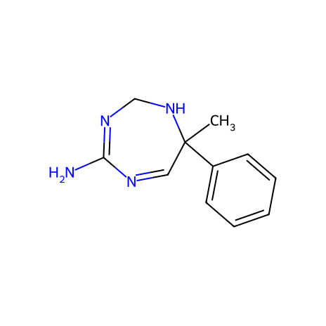 CC1(c2ccccc2)C=NC(N)=NCN1